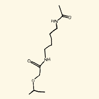 CC(=O)NCCCCNC(=O)COC(C)C